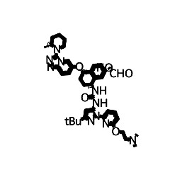 C[C@H]1CCCCN1c1nnc2ccc(O[C@@H]3CC[C@H](NC(=O)Nc4cc(C(C)(C)C)nn4-c4cccc(OCCN(C)C)n4)c4ccccc43)cn12.O=CO